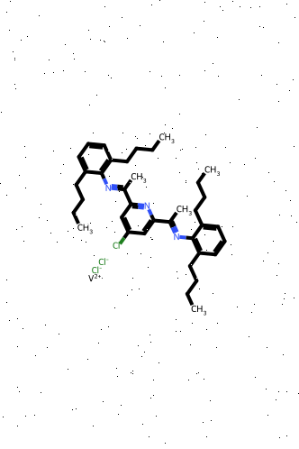 CCCCc1cccc(CCCC)c1N=C(C)c1cc(Cl)cc(C(C)=Nc2c(CCCC)cccc2CCCC)n1.[Cl-].[Cl-].[V+2]